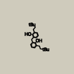 CC(C)(C)CCc1cccc(Cc2cccc(CCC(C)(C)C)c2O)c1O